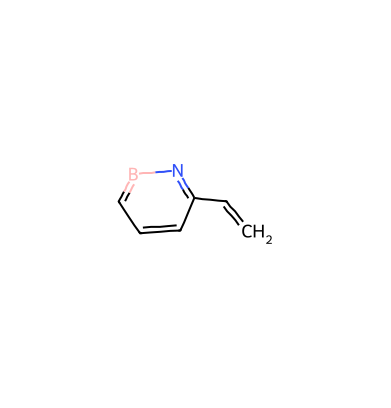 C=Cc1cccbn1